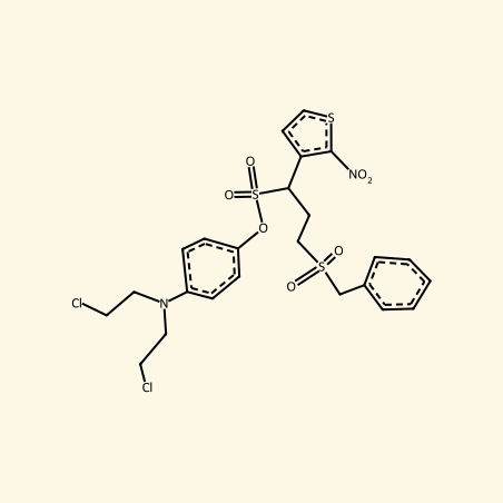 O=[N+]([O-])c1sccc1C(CCS(=O)(=O)Cc1ccccc1)S(=O)(=O)Oc1ccc(N(CCCl)CCCl)cc1